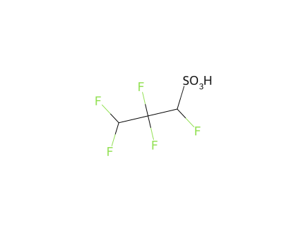 O=S(=O)(O)C(F)C(F)(F)C(F)F